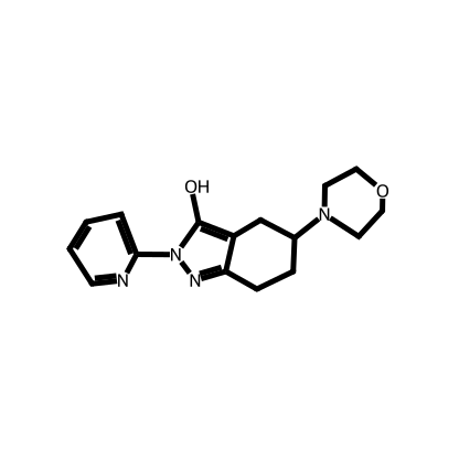 Oc1c2c(nn1-c1ccccn1)CCC(N1CCOCC1)C2